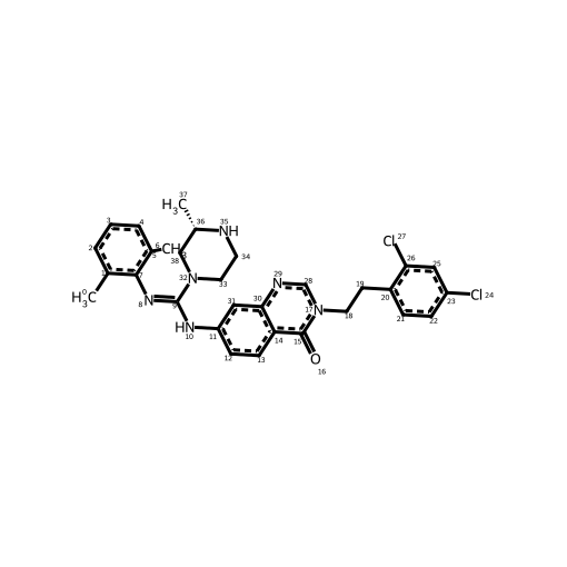 Cc1cccc(C)c1/N=C(/Nc1ccc2c(=O)n(CCc3ccc(Cl)cc3Cl)cnc2c1)N1CCN[C@@H](C)C1